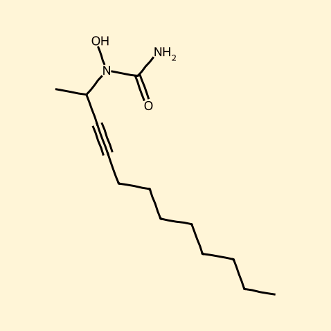 CCCCCCCCC#CC(C)N(O)C(N)=O